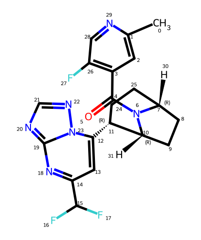 Cc1cc(C(=O)N2[C@H]3CC[C@@H]2[C@H](c2cc(C(F)F)nc4ncnn24)CC3)c(F)cn1